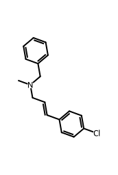 CN(CC=Cc1ccc(Cl)cc1)Cc1ccccc1